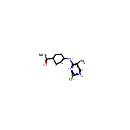 COC(=O)C1CCC(Nc2nc(Cl)ncc2[N+](=O)[O-])CC1